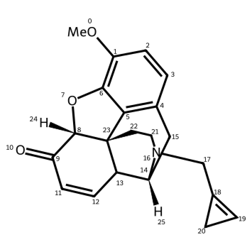 COc1ccc2c3c1O[C@H]1C(=O)C=CC4[C@@H](C2)N(CC2=CC2)CC[C@@]341